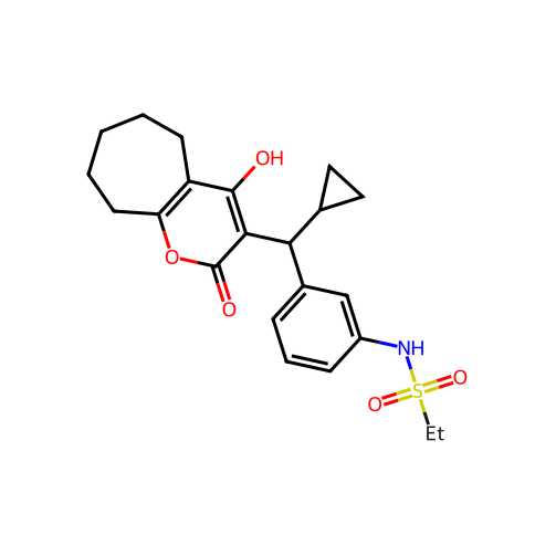 CCS(=O)(=O)Nc1cccc(C(c2c(O)c3c(oc2=O)CCCCC3)C2CC2)c1